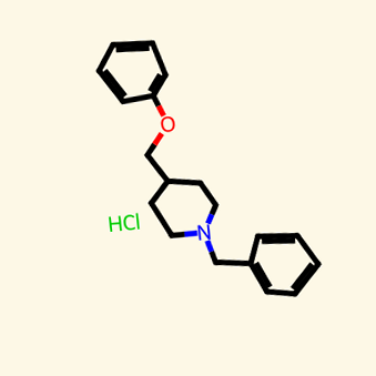 Cl.c1ccc(CN2CCC(COc3ccccc3)CC2)cc1